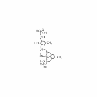 Cc1cc(CNCP(=O)(O)O)c(O)c(CN2CCNCCN(Cc3cc(C)cc(CNCP(=O)(O)O)c3O)CC2)c1